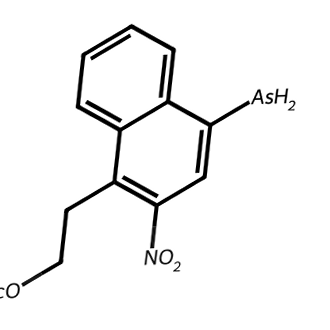 CC(=O)OCCc1c([N+](=O)[O-])cc([AsH2])c2ccccc12